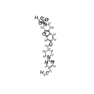 CCc1cnc(N2CCC(COc3ccc4c5c(oc4c3)CN(S(C)(=O)=O)CC5)CC2)nc1